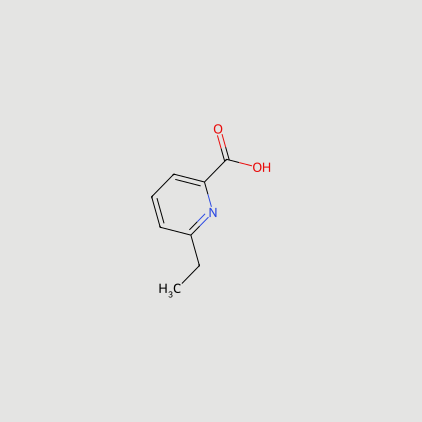 CCc1cccc(C(=O)O)n1